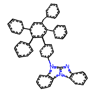 c1ccc(-c2cc(-c3ccccc3)c(-c3ccccc3)c(-c3ccc(-n4c5ccccc5n5c6ccccc6nc45)cc3)c2-c2ccccc2)cc1